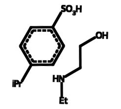 CC(C)c1ccc(S(=O)(=O)O)cc1.CCNCCO